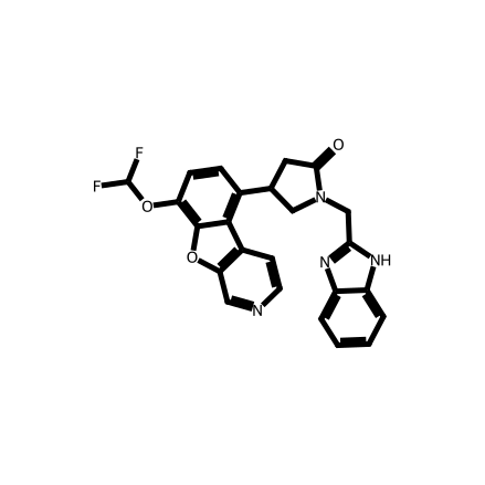 O=C1CC(c2ccc(OC(F)F)c3oc4cnccc4c23)CN1Cc1nc2ccccc2[nH]1